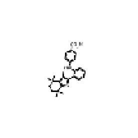 Cc1c(-c2ccccc2Nc2ccc(C(=O)O)cc2)sc2c1C(C)(C)CCC2(C)C